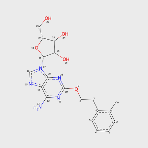 Cc1ccccc1CCOc1nc(N)c2ncn([C@@H]3O[C@H](CO)C(O)C3O)c2n1